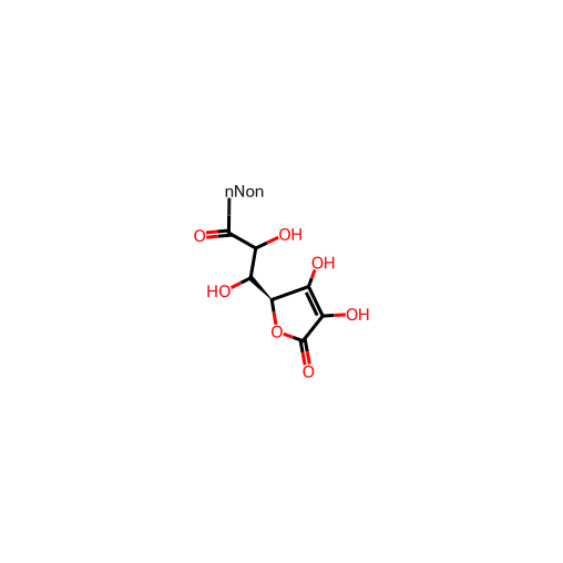 CCCCCCCCCC(=O)C(O)C(O)[C@@H]1OC(=O)C(O)=C1O